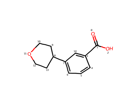 O=C(O)c1cccc(C2CCOCC2)c1